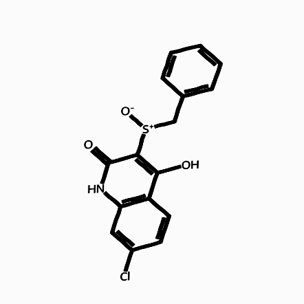 O=c1[nH]c2cc(Cl)ccc2c(O)c1[S+]([O-])Cc1ccccc1